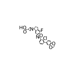 O=C(O)C1CN([C@H]2CCc3c2cc2nc(-c4cccc(-c5ccc6c(c5)OCCO6)c4Cl)oc2c3F)C1